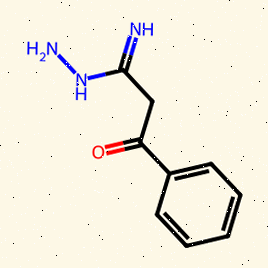 N=C(CC(=O)c1ccccc1)NN